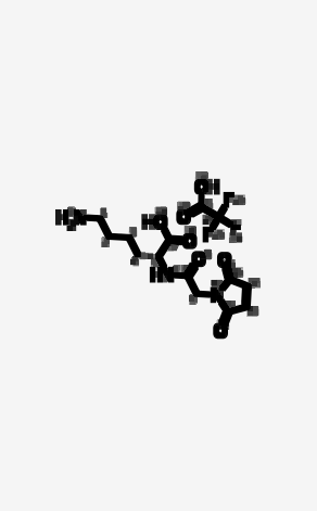 NCCCC[C@@H](NC(=O)CN1C(=O)C=CC1=O)C(=O)O.O=C(O)C(F)(F)F